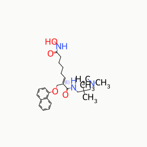 CN(C)CC(C)(C)CNC(=O)/C(=C/CCCCC(=O)NO)COc1cccc2ccccc12